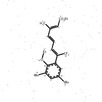 CCOC(=O)C=C(C)C=CC=C(c1cc(C(C)(C)C)cc(C(C)(C)C)c1OCC)C(F)(F)F